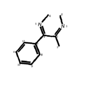 C/N=C(C)\C(=N/C)c1ccccc1